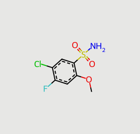 COc1cc(F)c(Cl)cc1S(N)(=O)=O